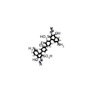 [H]/N=N/c1c(S(=O)(=O)O)c(-c2ccc(-c3ccc(-c4c(S(=O)(=O)O)c(/N=N/[H])c(O)c5ccc(N)cc45)cc3CC)c(CC)c2)c2cc(N)ccc2c1O